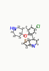 Cc1cc(Cl)cc(-c2ccnc3ccsc23)c1OC1CCCNCC1